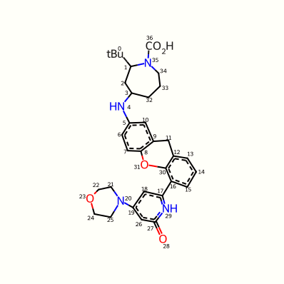 CC(C)(C)C1CC(Nc2ccc3c(c2)Cc2cccc(-c4cc(N5CCOCC5)cc(=O)[nH]4)c2O3)CCCN1C(=O)O